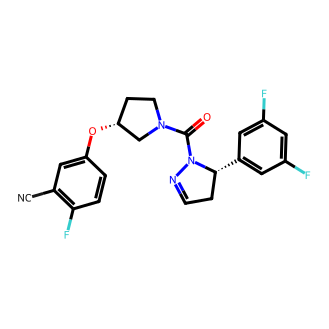 N#Cc1cc(O[C@@H]2CCN(C(=O)N3N=CC[C@H]3c3cc(F)cc(F)c3)C2)ccc1F